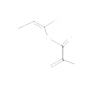 C=C(C)C(=O)O/C(Cl)=C\C